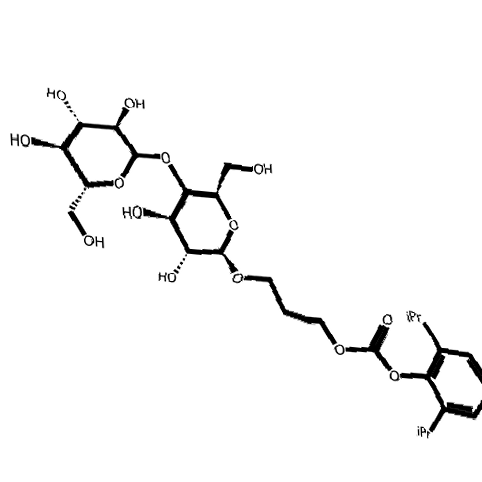 CC(C)c1cccc(C(C)C)c1OC(=O)OCCCO[C@@H]1O[C@H](CO)C(OC2O[C@H](CO)[C@@H](O)[C@H](O)[C@H]2O)[C@H](O)[C@H]1O